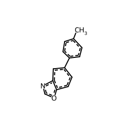 Cc1ccc(-c2ccc3ocnc3c2)cc1